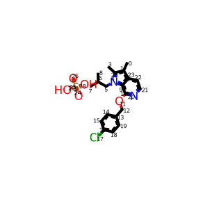 Cc1c(C)n(CC(C)C)c2c(OCc3ccc(Cl)cc3)nccc12.O=S(=O)(O)O